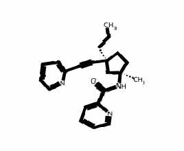 CCC[C@]1(C#Cc2ccccn2)CC[C@@](C)(NC(=O)c2ccccn2)C1